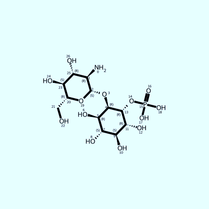 N[C@H]1[C@H](O[C@@H]2[C@H](O)[C@@H](O)[C@H](O)[C@@H](O)[C@H]2OP(=O)(O)O)O[C@H](CO)[C@@H](O)[C@@H]1O